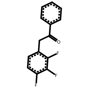 O=C(Cc1ccc(F)c(F)c1F)c1ccccc1